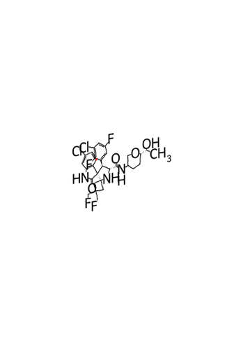 CC(O)[C@@H]1CC[C@@H](NC(=O)[C@@H]2NC3(CC(CF)(CF)C3)[C@@]3(C(=O)Nc4cc(Cl)ccc43)[C@H]2c2cc(F)cc(Cl)c2F)CO1